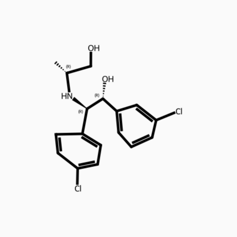 C[C@H](CO)N[C@H](c1ccc(Cl)cc1)[C@H](O)c1cccc(Cl)c1